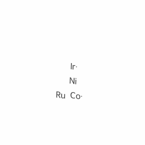 [Co].[Ir].[Ni].[Ru]